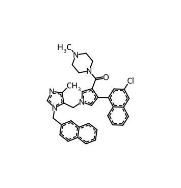 Cc1ncn(Cc2ccc3ccccc3c2)c1Cn1cc(C(=O)N2CCN(C)CC2)c(-c2cc(Cl)cc3ccccc23)c1